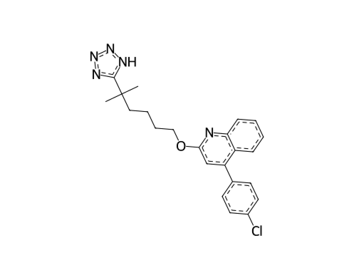 CC(C)(CCCCOc1cc(-c2ccc(Cl)cc2)c2ccccc2n1)c1nnn[nH]1